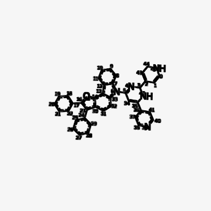 C1=CC(C2N=C(n3c4ccccc4c4c5oc(-c6ccccc6)c(-c6ccccc6)c5ccc43)C=C(c3ccncc3)N2)=CCN1